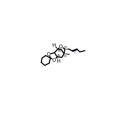 CC/C=C/C[C@@H]1O[C@@H]2C[C@@]1(C)C[C@H]1OC3(CCCCC3)OC21